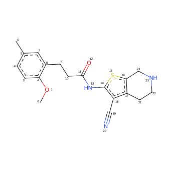 COc1ccc(C)cc1CCC(=O)Nc1sc2c(c1C#N)CCNC2